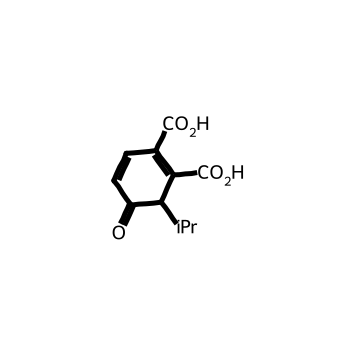 CC(C)C1C(=O)C=CC(C(=O)O)=C1C(=O)O